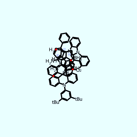 Bc1c(B)c(B)c(C2=C(C)\C=C(/N)N3c4ccccc4C4(c5ccccc5N(c5cc(C(C)(C)C)cc(C(C)(C)C)c5)c5ccccc54)c4ccc5c(c43)C3(\C=C\2)c2c(cccc2N2c4ccccc4N(c4c(-c6ccccc6)cccc4-c4ccccc4)C23)O5)c(B)c1B